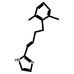 Cc1cccc(C)c1CCC=Cc1ncc[nH]1